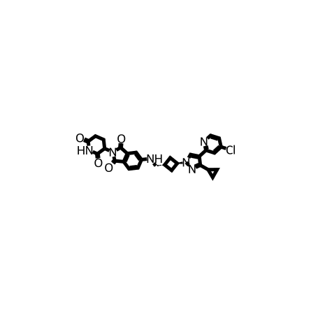 O=C1CCC(N2C(=O)c3ccc(NC[C@H]4C[C@H](n5cc(-c6cc(Cl)ccn6)c(C6CC6)n5)C4)cc3C2=O)C(=O)N1